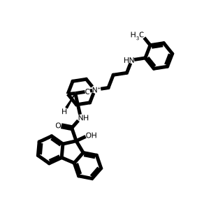 Cc1ccccc1NCCC[N+]12CCC(CC1)[C@@H](NC(=O)C1(O)c3ccccc3-c3ccccc31)C2